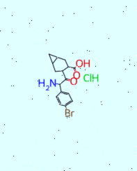 Cl.NC(C(=O)C1CC2CC2CC1C(=O)O)c1ccc(Br)cc1